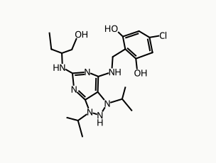 CCC(CO)Nc1nc(NCc2c(O)cc(Cl)cc2O)c2c(n1)N(C(C)C)NN2C(C)C